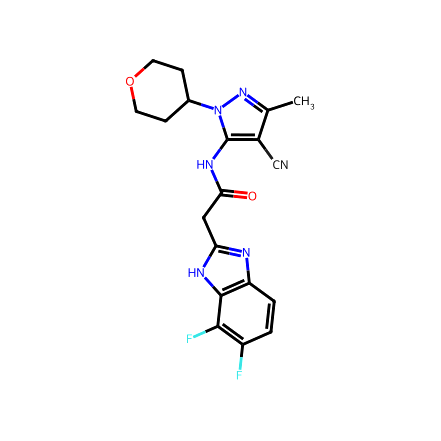 Cc1nn(C2CCOCC2)c(NC(=O)Cc2nc3ccc(F)c(F)c3[nH]2)c1C#N